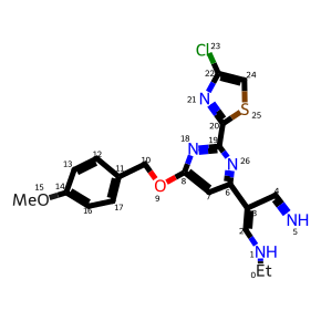 CCN/C=C(\C=N)c1cc(OCc2ccc(OC)cc2)nc(-c2nc(Cl)cs2)n1